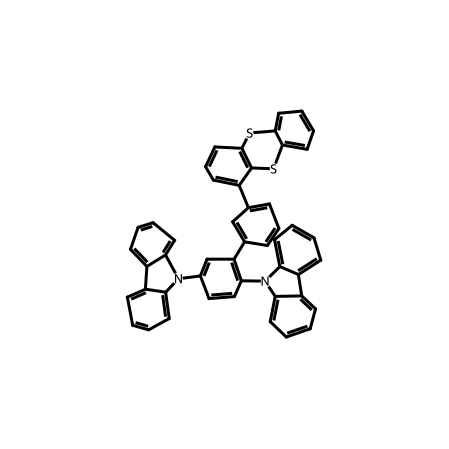 c1cc(-c2cc(-n3c4ccccc4c4ccccc43)ccc2-n2c3ccccc3c3ccccc32)cc(-c2cccc3c2Sc2ccccc2S3)c1